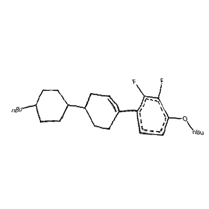 CCCCOc1ccc(C2=CCC(C3CCC(CCCC)CC3)CC2)c(F)c1F